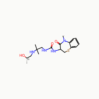 [CH2]N1C(=O)C(NC(=O)NCC(C)(C)NC[C@H](C)O)CSc2ccccc21